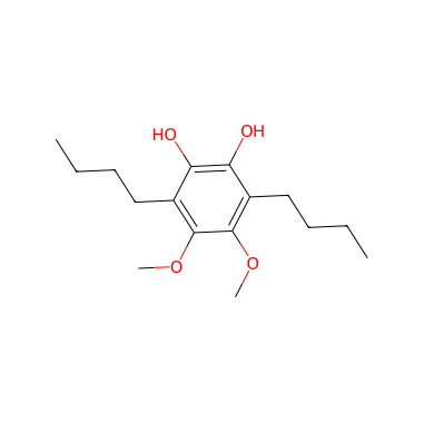 CCCCc1c(O)c(O)c(CCCC)c(OC)c1OC